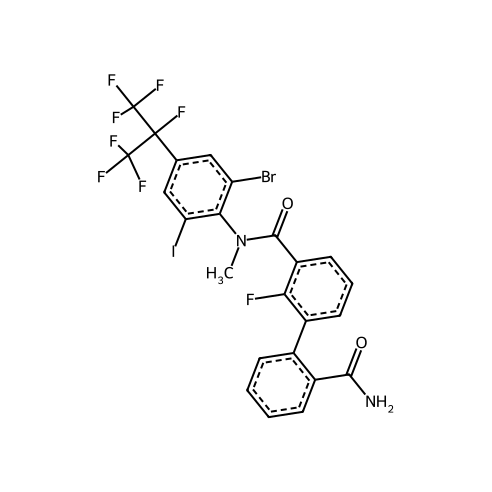 CN(C(=O)c1cccc(-c2ccccc2C(N)=O)c1F)c1c(Br)cc(C(F)(C(F)(F)F)C(F)(F)F)cc1I